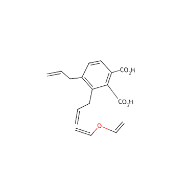 C=CCc1ccc(C(=O)O)c(C(=O)O)c1CC=C.C=COC=C